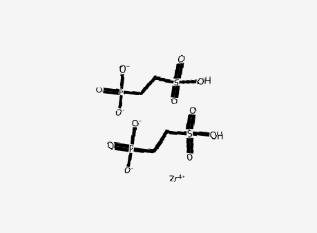 O=P([O-])([O-])CCS(=O)(=O)O.O=P([O-])([O-])CCS(=O)(=O)O.[Zr+4]